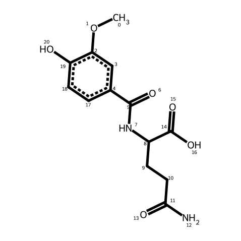 COc1cc(C(=O)NC(CCC(N)=O)C(=O)O)ccc1O